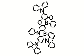 c1ccc(N2c3cc4c(cc3B3c5c2cc(-n2c6ccccc6c6ccccc62)cc5-n2c5ccccc5c5cccc3c52)B2c3ccccc3Oc3cc(-n5c6ccccc6c6ccccc65)cc(c32)O4)cc1